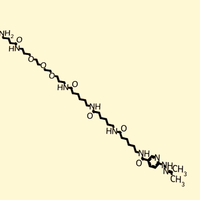 CC(C)=NNc1ccc(C(=O)NCCCCCC(=O)NCCCCCC(=O)NCCCCCC(=O)NCCCOCCOCCOCCCNC(=O)CCCN)cn1